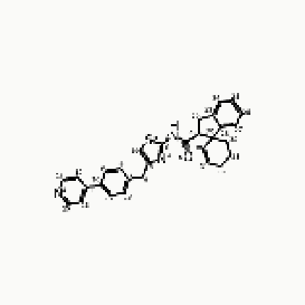 O=C(Nc1nc(Cc2ccc(-c3ccncc3)cc2)cs1)C1Cc2ccccc2C12C=CCCC2